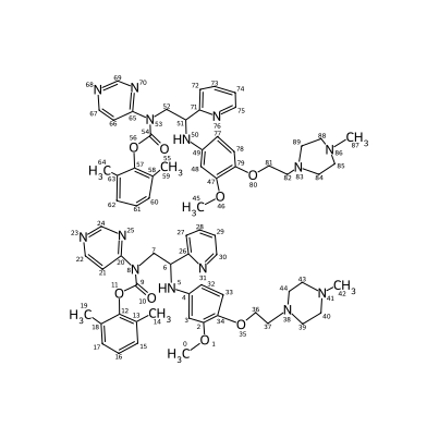 COc1cc(NC(CN(C(=O)Oc2c(C)cccc2C)c2ccncn2)c2ccccn2)ccc1OCCN1CCN(C)CC1.COc1cc(NC(CN(C(=O)Oc2c(C)cccc2C)c2ccncn2)c2ccccn2)ccc1OCCN1CCN(C)CC1